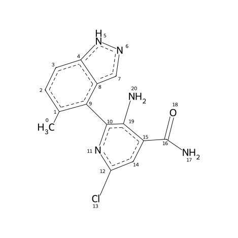 Cc1ccc2[nH]ncc2c1-c1nc(Cl)cc(C(N)=O)c1N